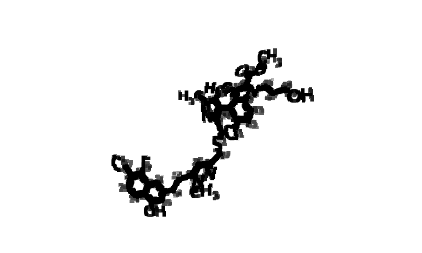 COC(=O)c1c(C)c2c(-c3c(CSCc4cc(CCc5cc(O)c6ccc(Cl)c(F)c6c5)n(C)n4)nn(C)c3C)c(Cl)ccc2n1CCCO